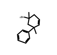 CCCCC1(C)CC=CC(C)(c2ccccc2)C1